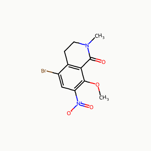 COc1c([N+](=O)[O-])cc(Br)c2c1C(=O)N(C)CC2